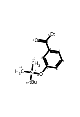 CCC(=O)c1cccc(O[Si](C)(C)C(C)(C)C)c1